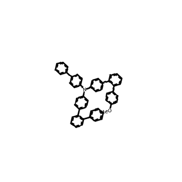 COc1ccc(-c2ccccc2-c2ccc(N(c3ccc(-c4ccccc4)cc3)c3ccc(-c4ccccc4-c4ccccc4)cc3)cc2)cc1